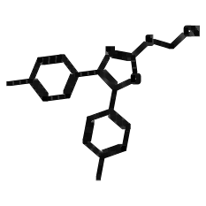 Cc1ccc(-c2nc(SCC#N)oc2-c2ccc(C)cc2)cc1